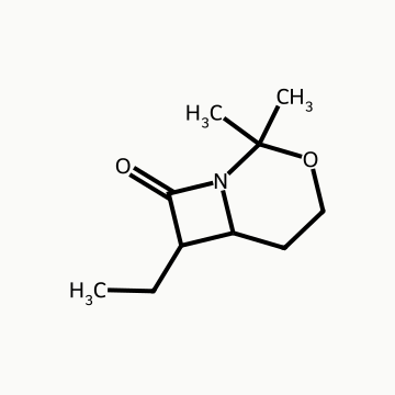 CCC1C(=O)N2C1CCOC2(C)C